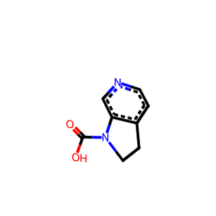 O=C(O)N1CCc2ccncc21